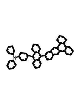 c1ccc(N(c2ccccc2)c2ccc(-c3c4ccccc4c(-c4ccc5cc6c7ccccc7c7ccccc7c6cc5c4)c4ccccc34)cc2)cc1